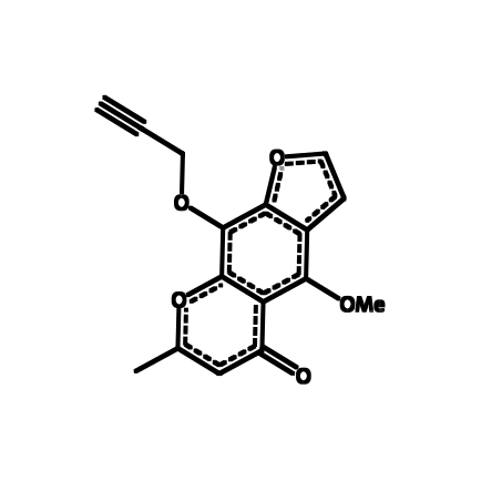 C#CCOc1c2occc2c(OC)c2c(=O)cc(C)oc12